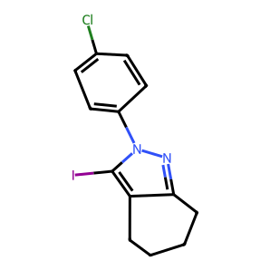 Clc1ccc(-n2nc3c(c2I)CCCC3)cc1